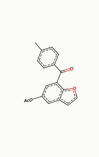 CC(=O)Oc1cc(C(=O)c2ccc(C)cc2)c2occc2c1